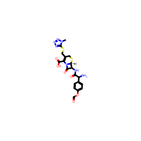 Cn1nnnc1SCC1=C(C(=O)O)N2C(=O)C(NC(=O)C(N)c3ccc(OC=O)cc3)[C@@H]2SC1